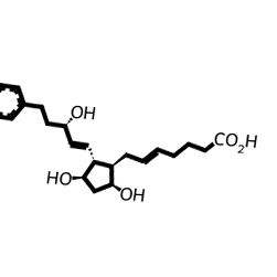 O=C(O)CCC/C=C/C[C@@H]1[C@@H](/C=C/[C@@H](O)CCc2ccccc2)[C@H](O)C[C@@H]1O